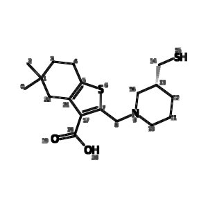 CC1(C)CCc2sc(CN3CCC[C@@H](CS)C3)c(C(=O)O)c2C1